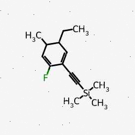 CCC1C=C(C#C[Si](C)(C)C)C(F)=CC1C